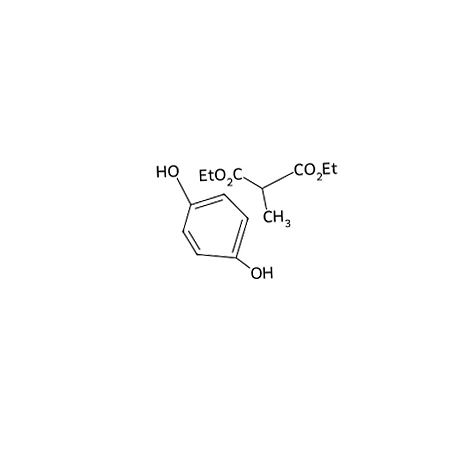 CCOC(=O)C(C)C(=O)OCC.Oc1ccc(O)cc1